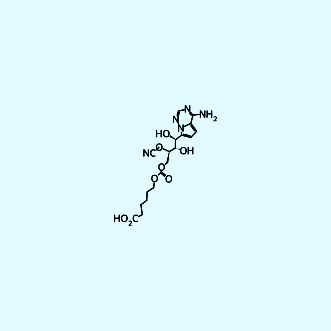 N#CO[C@H](COC(=O)OCCCCCC(=O)O)[C@@H](O)[C@@H](O)c1ccc2c(N)ncnn12